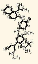 CN/C=C(\C=N)c1cc(Nc2ncc(Br)c(Nc3ccc4nccnc4c3P(C)C)n2)c(OC)cc1NC(C)C(F)(F)F